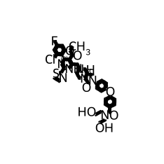 COC(=O)C1=C(CN2CCN3C(=O)N(c4ccc(Oc5ccc(C(=O)N(CCO)CCO)cc5)cc4)C[C@@H]3C2)NC(c2nccs2)=N[C@H]1c1ccc(F)cc1Cl